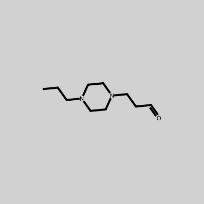 CCCN1CCN(CCC=O)CC1